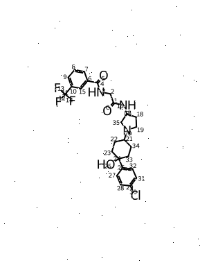 O=C(CNC(=O)c1cccc(C(F)(F)F)c1)N[C@@H]1CCN(C2CCC(O)(c3ccc(Cl)cc3)CC2)C1